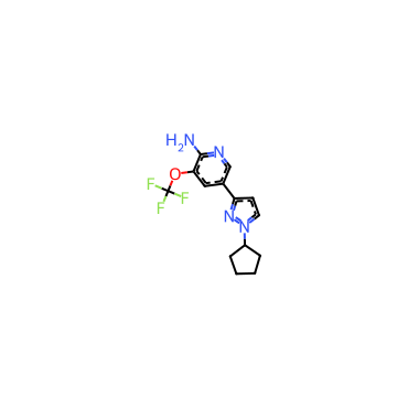 Nc1ncc(-c2ccn(C3CCCC3)n2)cc1OC(F)(F)F